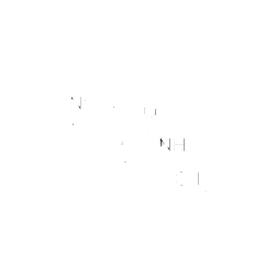 C=C1CCC(c2ccncc2)C(=O)N1